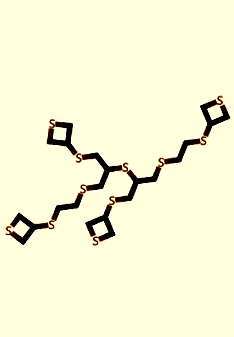 C(CSC1CSC1)SCC(CSC1CSC1)SC(CSCCSC1CSC1)CSC1CSC1